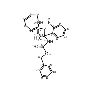 CC(CS1(=O)=NCC=CCN1)(NC(=O)OCc1ccccc1)c1ccccc1F